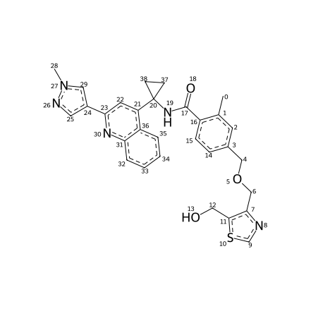 Cc1cc(COCc2ncsc2CO)ccc1C(=O)NC1(c2cc(-c3cnn(C)c3)nc3ccccc23)CC1